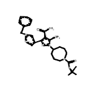 CC(C)(C)OC(=O)N1CCCC(n2nc(-c3cnn(Cc4ccccc4)c3)c(C(N)=O)c2N)CCC1